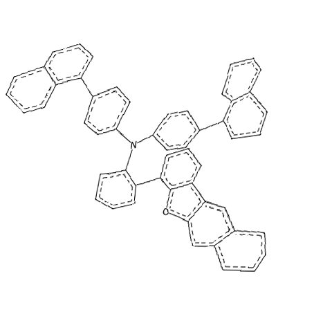 c1ccc(N(c2ccc(-c3cccc4ccccc34)cc2)c2ccc(-c3cccc4ccccc34)cc2)c(-c2cccc3c2oc2cc4ccccc4cc23)c1